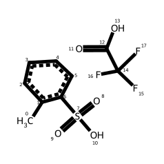 Cc1ccccc1S(=O)(=O)O.O=C(O)C(F)(F)F